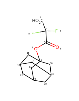 O=C(O)C(F)(F)C(=O)OC12CC3CC(CC(C3)C1)C2